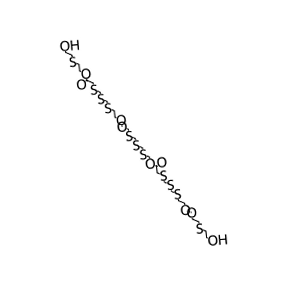 O=C(CSCSCSCCOOCSCSCSCOC(=O)CSCSCSCCOOCCSCCO)OCCSCCO